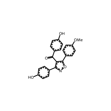 COc1ccc(-c2onc(-c3ccc(O)cc3)c2C(=O)c2ccc(O)cc2)cc1